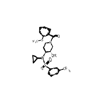 O=C(c1ccccc1OC(F)(F)F)N1CC[C@H](N(C2CC2)S(=O)(=O)c2cccc(C(F)(F)F)c2)[C@@H](O)C1